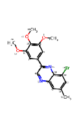 COc1cc(-c2cnc3cc(C)cc(Br)c3n2)cc(OC)c1OC